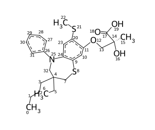 CCCCC1(CC)CSc2cc(OC[C@](C)(O)C(=O)O)c(SC)cc2N(c2ccccc2)C1